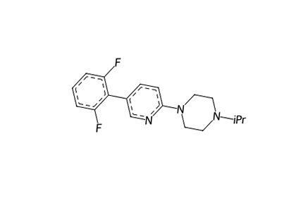 CC(C)N1CCN(c2ccc(-c3c(F)cccc3F)cn2)CC1